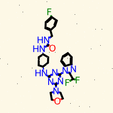 O=C(NCc1ccc(F)cc1)N[C@H]1CC[C@H](Nc2nc(N3CCOCC3)nc(-n3c(C(F)F)nc4ccccc43)n2)CC1